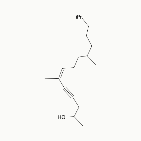 CC(C#CCC(C)O)=CCCC(C)CCCC(C)C